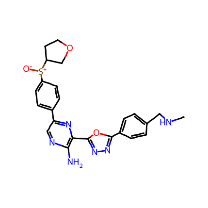 CNCc1ccc(-c2nnc(-c3nc(-c4ccc([S+]([O-])C5CCOC5)cc4)cnc3N)o2)cc1